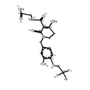 Cc1cc(CN2CCC(O)=C(C(=O)NCC(=O)O)C2=O)ccc1OCC(F)(F)F